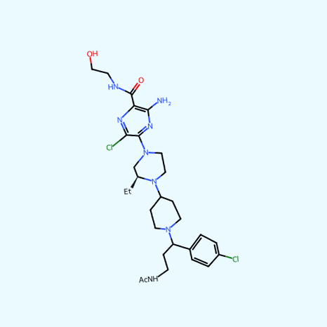 CC[C@H]1CN(c2nc(N)c(C(=O)NCCO)nc2Cl)CCN1C1CCN(C(CCNC(C)=O)c2ccc(Cl)cc2)CC1